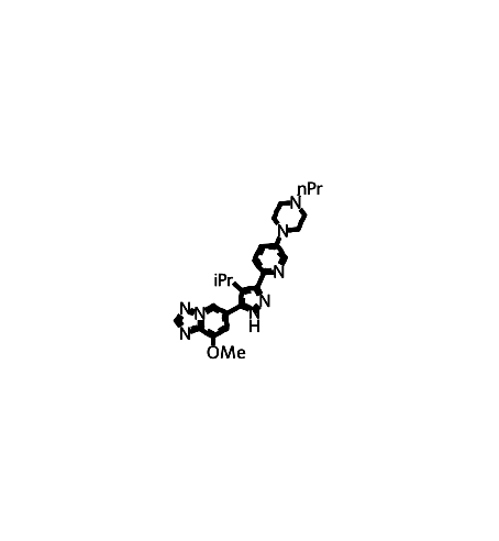 CCCN1CCN(c2ccc(-c3n[nH]c(-c4cc(OC)c5ncnn5c4)c3C(C)C)nc2)CC1